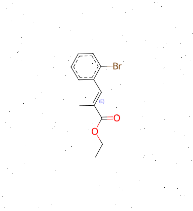 CCOC(=O)/C(C)=C/c1ccccc1Br